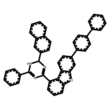 c1ccc(C2=NC(c3cccc4oc5cc(-c6ccc(-c7ccccc7)cc6)ccc5c34)=NC(c3ccc4ccccc4c3)N2)cc1